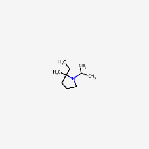 CCC1(C)CCCN1C(C)C